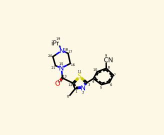 Cc1nc(-c2cccc(C#N)c2)sc1C(=O)N1CCN(C(C)C)CC1